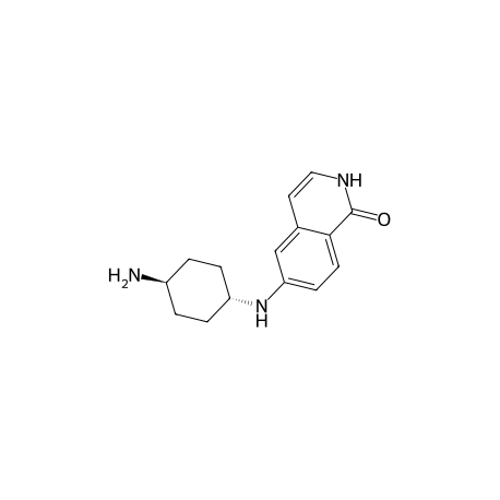 N[C@H]1CC[C@H](Nc2ccc3c(=O)[nH]ccc3c2)CC1